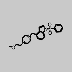 COCCN1CCN(Cc2cccc3c2ccn3S(=O)(=O)c2ccccc2)CC1